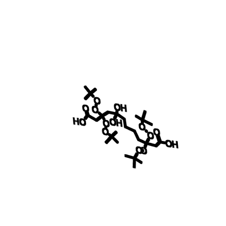 CC(C)(C)OOC(CCCCC(O)(O)CC(CC(=O)O)(OOC(C)(C)C)OOC(C)(C)C)(CC(=O)O)OOC(C)(C)C